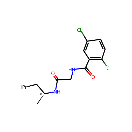 CC(C)C[C@@H](C)NC(=O)CNC(=O)c1cc(Cl)ccc1Cl